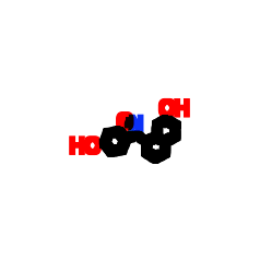 Oc1ccc2c(-c3cccc4ccc(O)cc34)noc2c1